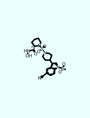 CS(=O)(=O)n1cc(C2CCN(S(=O)(=O)N3CCCC[C@@H]3C(=O)NO)CC2)c2cc(C#N)ccc21